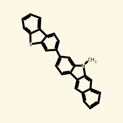 Cn1c2cc(-c3ccc4c(c3)sc3ccccc34)ccc2c2cc3ccccc3cc21